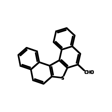 O=Cc1cc2ccccc2c2c1sc1ccc3ccccc3c12